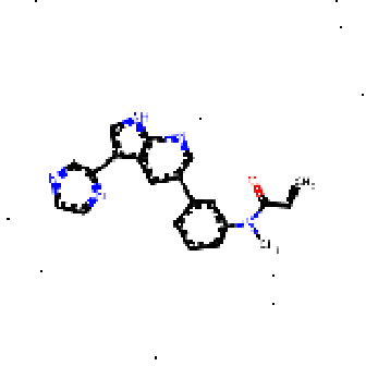 C=CC(=O)N(C)c1cccc(-c2cnc3[nH]cc(-c4cnccn4)c3c2)c1